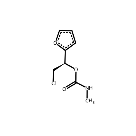 CNC(=O)O[C@@H](CCl)c1ccco1